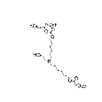 CCCCCCCCCCC(=O)OCCCCCCN(CCO)CCCCCCOC(=O)OC(CCCCCCCC)CCCCCCCC